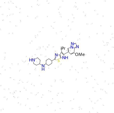 COc1cc(-c2[nH]c3sc(C4CCC(NC5CCNCC5)CC4)nc3c2C(C)C)cn2ncnc12